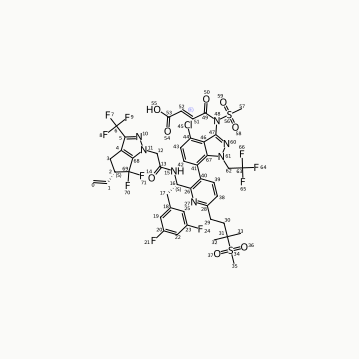 C=C[C@@H]1Cc2c(C(F)(F)F)nn(CC(=O)N[C@@H](Cc3cc(F)cc(F)c3)c3nc(CCC(C)(C)S(C)(=O)=O)ccc3-c3ccc(Cl)c4c(N(C(=O)/C=C/C(=O)O)S(C)(=O)=O)nn(CC(F)(F)F)c34)c2C1(F)F